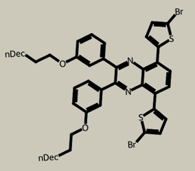 CCCCCCCCCCCCOc1cccc(-c2nc3c(-c4ccc(Br)s4)ccc(-c4ccc(Br)s4)c3nc2-c2cccc(OCCCCCCCCCCCC)c2)c1